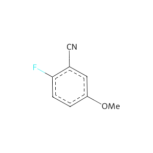 COc1ccc(F)c(C#N)c1